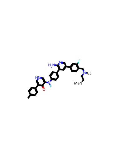 CCN(CCNC)Cc1ccc(-c2cnc(N)c(-c3ccc(N(F)c4c[nH]cc(-c5ccc(C)cc5)c4=O)cc3)c2)cc1F